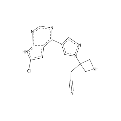 N#CCC1(n2cc(-c3ncnc4[nH]c(Cl)cc34)cn2)CNC1